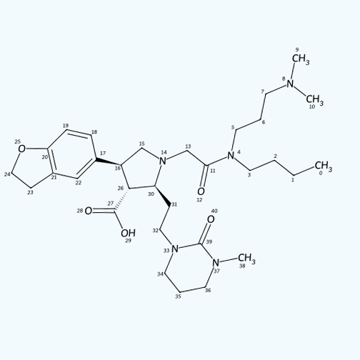 CCCCN(CCCN(C)C)C(=O)CN1C[C@H](c2ccc3c(c2)CCO3)[C@@H](C(=O)O)[C@@H]1CCN1CCCN(C)C1=O